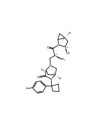 N#C[C@@H]1C[C@@H]2CC2N1C(=O)[C@@H](N)CN1C[C@@H]2C[C@H]1C(=O)N2C1(c2ccc(F)cc2)CCC1